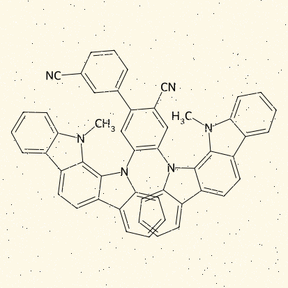 Cn1c2ccccc2c2ccc3c4ccccc4n(-c4cc(C#N)c(-c5cccc(C#N)c5)cc4-n4c5ccccc5c5ccc6c7ccccc7n(C)c6c54)c3c21